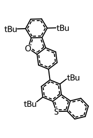 CC(C)(C)c1ccc(C(C)(C)C)c2c1oc1cc(-c3cc(C(C)(C)C)c4sc5ccccc5c4c3C(C)(C)C)ccc12